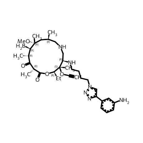 B[C@@H]1[C@@H](C)C(=O)[C@@H](C)C(=O)O[C@H](CC)[C@@](C)(OC#C)[C@H](NCCCCn2cc(-c3cccc(N)c3)nn2)CNC[C@H](C)C[C@@]1(C)OC